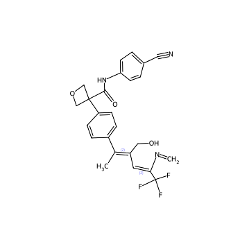 C=N/C(=C\C(CO)=C(/C)c1ccc(C2(C(=O)Nc3ccc(C#N)cc3)COC2)cc1)C(F)(F)F